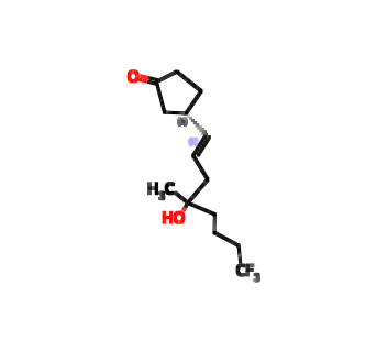 CC(O)(C/C=C/[C@H]1CCC(=O)C1)CCCC(F)(F)F